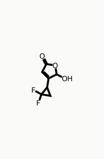 O=C1C=C(C2CC2(F)F)C(O)O1